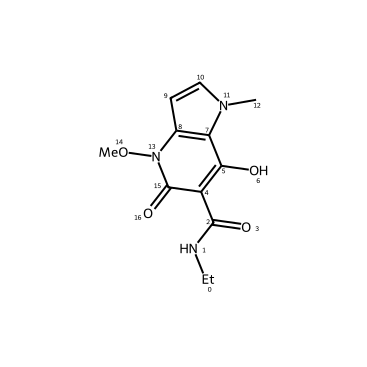 CCNC(=O)c1c(O)c2c(ccn2C)n(OC)c1=O